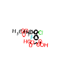 CCOC(=O)OC.Cc1ccc(Cl)cc1.Fc1ccccc1.O=C(O)OCCOC(=O)O